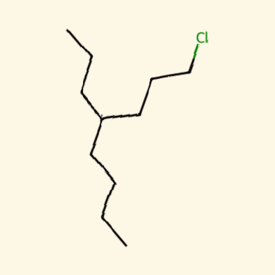 CCCC[C](CCC)CCCCl